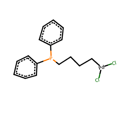 [Cl][Pd]([Cl])[CH2]CCCP(c1ccccc1)c1ccccc1